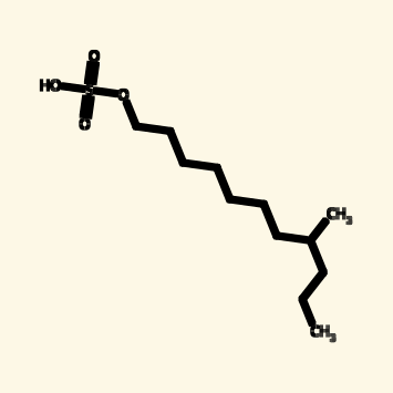 CCCC(C)CCCCCCCOS(=O)(=O)O